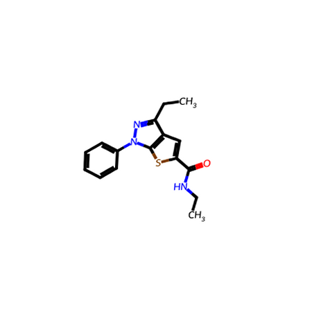 CCNC(=O)c1cc2c(CC)nn(-c3ccccc3)c2s1